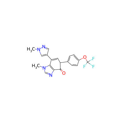 Cn1cc(C2=CC(c3ccc(OC(F)(F)F)cc3)C(=O)c3ncn(C)c32)cn1